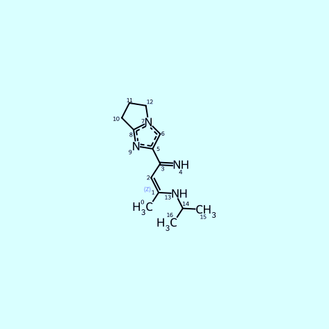 C/C(=C/C(=N)c1cn2c(n1)CCC2)NC(C)C